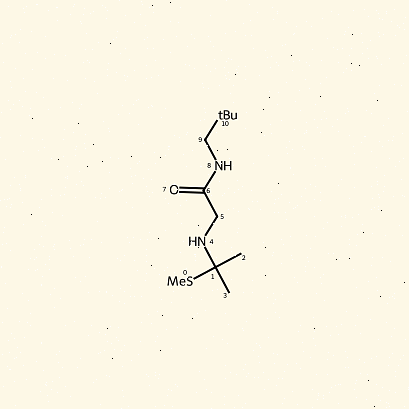 CSC(C)(C)NCC(=O)NCC(C)(C)C